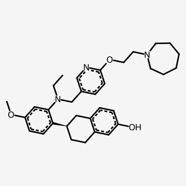 CCN(Cc1ccc(OCCN2CCCCCC2)nc1)c1cc(OC)ccc1[C@@H]1CCc2cc(O)ccc2C1